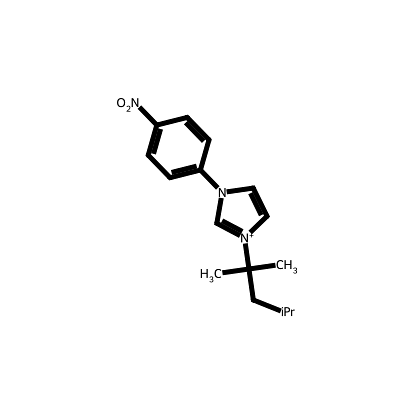 CC(C)CC(C)(C)[n+]1ccn(-c2ccc([N+](=O)[O-])cc2)c1